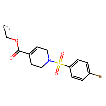 CCOC(=O)C1=CCN(S(=O)(=O)c2ccc(Br)cc2)CC1